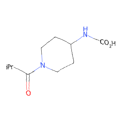 CC(C)C(=O)N1CCC(NC(=O)O)CC1